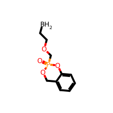 BCCOCP1(=O)OCc2ccccc2O1